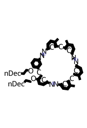 CCCCCCCCCCCCOc1ccc2cc1Cc1cc(ccc1OCCCCCCCCCCCC)/N=N/c1ccc(C)c(c1)Cc1cc(ccc1C)/N=N/c1ccc(C)c(c1)Cc1cc(ccc1C)/N=N/2